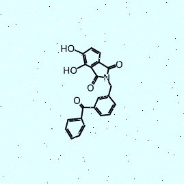 O=C(c1ccccc1)c1cccc(CN2C(=O)c3ccc(O)c(O)c3C2=O)c1